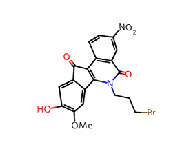 COc1cc2c(cc1O)C(=O)c1c-2n(CCCBr)c(=O)c2cc([N+](=O)[O-])ccc12